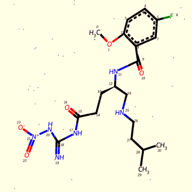 COc1ccc(F)cc1C(=O)N[C@H](CCC(=O)NC(=N)N[N+](=O)[O-])CNCCC(C)C